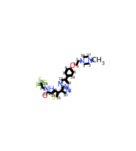 CN1CCN(CCOc2ccc(-c3cnc4c(-c5csc(C(=O)NCC(F)(F)F)c5)cnn4c3)cc2)CC1